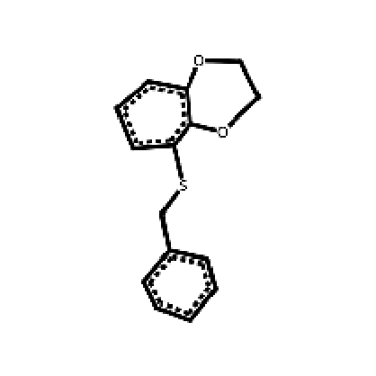 c1ccc(CSc2cccc3c2OCCO3)cc1